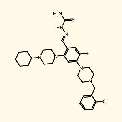 NC(=S)N/N=C/c1cc(F)c(N2CCN(Cc3ccccc3Cl)CC2)cc1N1CCN(C2CCCCC2)CC1